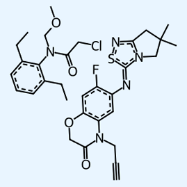 C#CCN1C(=O)COc2cc(F)c(/N=c3\snc4n3CC(C)(C)C4)cc21.CCc1cccc(CC)c1N(COC)C(=O)CCl